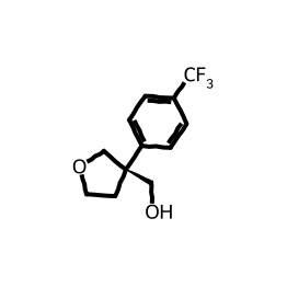 OC[C@@]1(c2ccc(C(F)(F)F)cc2)CCOC1